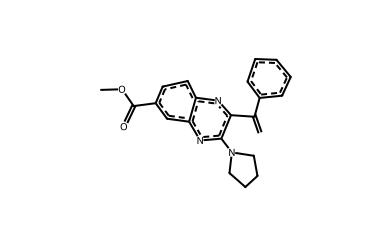 C=C(c1ccccc1)c1nc2ccc(C(=O)OC)cc2nc1N1CCCC1